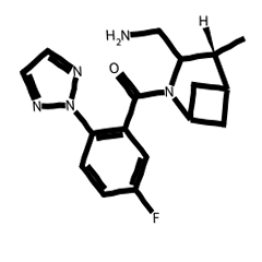 C[C@@H]1C2CC(C2)N(C(=O)c2cc(F)ccc2-n2nccn2)C1CN